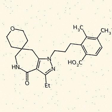 CCc1nn(CCCc2c(C(=O)O)ccc(C)c2C)c2c1C(=O)NCC1(CCOCC1)C2